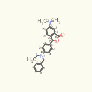 CCN(Cc1ccccc1)c1ccc(C2OC(=O)c3cc(N(C)C)ccc32)cc1